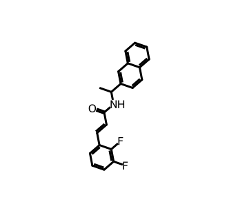 CC(NC(=O)C=Cc1cccc(F)c1F)c1ccc2ccccc2c1